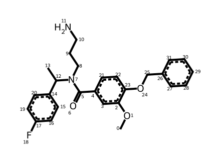 COc1cc(C(=O)N(CCCN)C(C)c2ccc(F)cc2)ccc1OCc1ccccc1